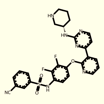 N#Cc1cccc(S(=O)(=O)Nc2ccc(Oc3ncccc3-c3ccnc(N[C@H]4CCCNC4)n3)c(F)c2F)c1